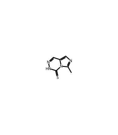 Cc1ncc2cn[nH]c(=S)n12